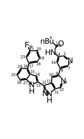 CCCCC(=O)Nc1cncc(-c2cc3c(-c4cc5c(-c6cccc(F)c6)cccc5[nH]4)n[nH]c3cn2)c1